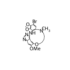 COc1cc2ncnc3c2cc1OCCCCCN(C)Cc1cc(Br)c2c(c1N3)OCO2